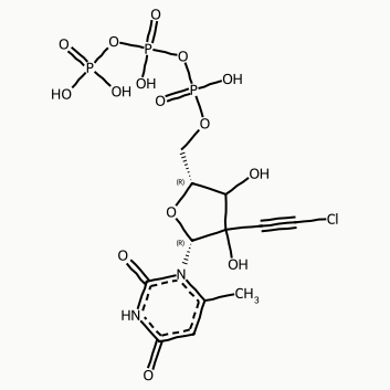 Cc1cc(=O)[nH]c(=O)n1[C@@H]1O[C@H](COP(=O)(O)OP(=O)(O)OP(=O)(O)O)C(O)C1(O)C#CCl